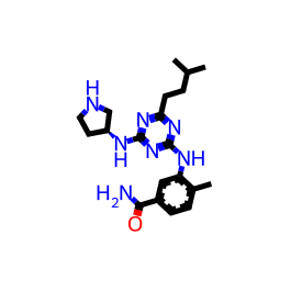 Cc1ccc(C(N)=O)cc1Nc1nc(CCC(C)C)nc(N[C@H]2CCNC2)n1